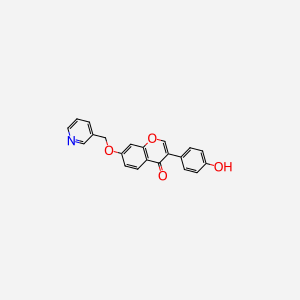 O=c1c(-c2ccc(O)cc2)coc2cc(OCc3cccnc3)ccc12